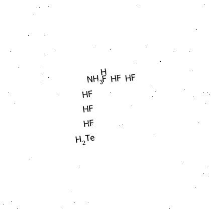 F.F.F.F.F.F.N.[TeH2]